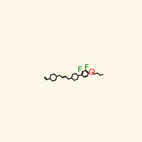 C=CC1CCC(CC=CCC2CCC(c3ccc(OCCCC)c(F)c3F)CC2)CC1